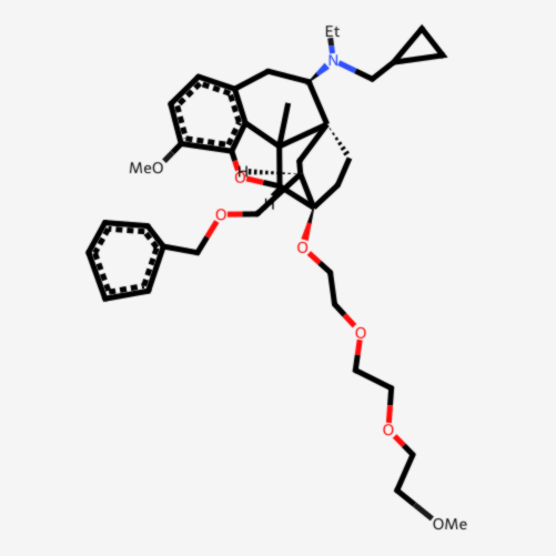 CCN(CC1CC1)[C@@H]1Cc2ccc(OC)c3c2C2(C)[C@@H](O3)[C@@]3(OCCOCCOCCOC)CC[C@@]12C[C@@H]3COCc1ccccc1